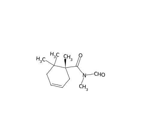 CN(C=O)C(=O)[C@]1(C)CC=CCC1(C)C